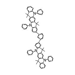 CC1(C)c2ccccc2N(c2ccccc2)c2cc3c(cc21)N(c1ccccc1)c1ccc(-c2cccc(-c4ccc5c(c4)C(C)(C)c4cc6c(cc4N5c4ccccc4)C(C)(C)c4ccccc4N6c4ccccc4)c2)cc1C3(C)C